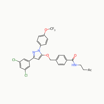 CC(=O)CCNC(=O)c1ccc(COc2cc(-c3cc(Cl)cc(Cl)c3)nn2-c2ccc(OC(F)(F)F)cc2)cc1